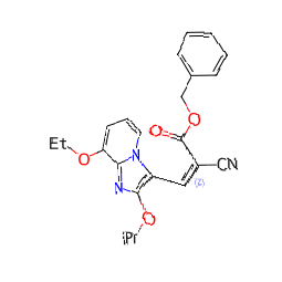 CCOc1cccn2c(/C=C(/C#N)C(=O)OCc3ccccc3)c(OC(C)C)nc12